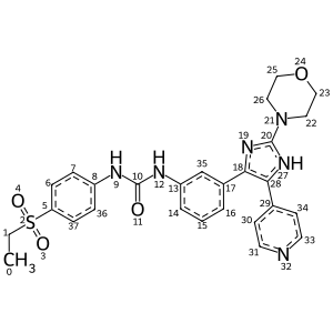 CCS(=O)(=O)c1ccc(NC(=O)Nc2cccc(-c3nc(N4CCOCC4)[nH]c3-c3ccncc3)c2)cc1